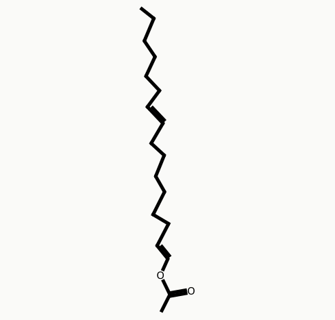 CCCCCCC=CCCCCCCC=COC(C)=O